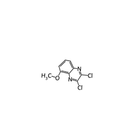 COc1cccc2nc(Cl)c(Cl)nc12